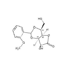 COc1ccccc1C1O[C@H]2[C@H](OC(=O)[C@H]2O)[C@H](CO)O1